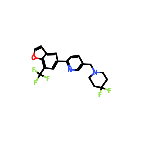 FC1(F)CCN(Cc2ccc(-c3cc(C(F)(F)F)c4occc4c3)nc2)CC1